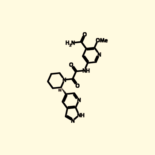 COc1ncc(NC(=O)C(=O)N2CCCC[C@H]2c2cnc3[nH]ncc3c2)cc1C(N)=O